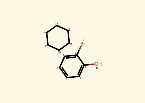 Oc1ccccc1Br.[CH]1CCCCC1